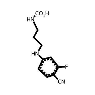 N#Cc1ccc(NCCCNC(=O)O)cc1F